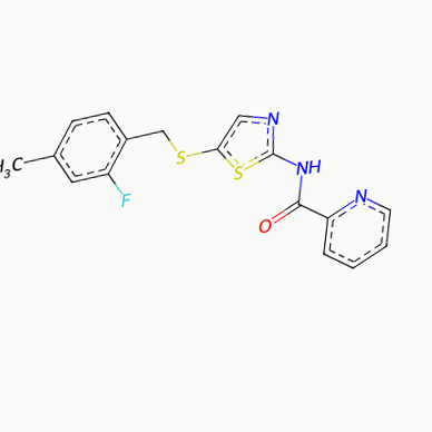 Cc1ccc(CSc2cnc(NC(=O)c3ccccn3)s2)c(F)c1